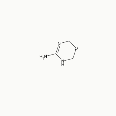 NC1=NCOCN1